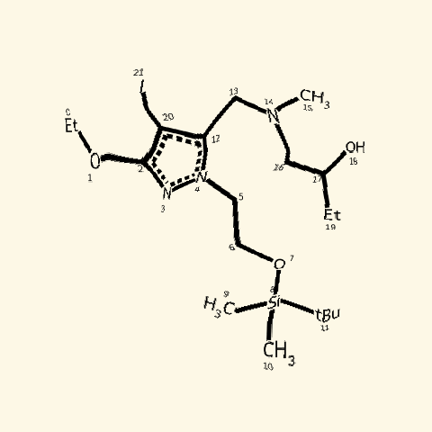 CCOc1nn(CCO[Si](C)(C)C(C)(C)C)c(CN(C)CC(O)CC)c1I